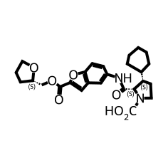 O=C(OC[C@@H]1CCCO1)c1cc2cc(NC(=O)[C@@H]3[C@H](C4CCCCC4)CCN3C(=O)O)ccc2o1